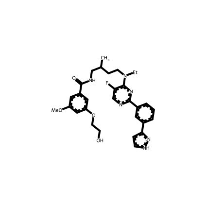 CCN(CCC(C)CNC(=O)c1cc(OC)cc(OCCO)c1)c1nc(-c2cccc(-c3cc[nH]n3)c2)ncc1F